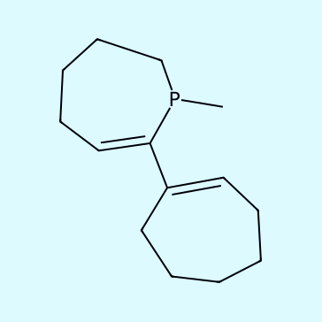 CP1CCCCC=C1C1=CCCCCC1